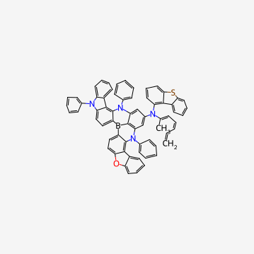 C=C/C=C\C=C(/C)N(c1cc2c3c(c1)N(c1ccccc1)c1c(ccc4c1c1ccccc1n4-c1ccccc1)B3c1ccc3oc4ccccc4c3c1N2c1ccccc1)c1cccc2sc3ccccc3c12